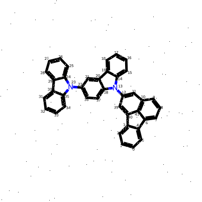 c1ccc2c(c1)-c1cccc3cc(-n4c5ccccc5c5cc(-n6c7ccccc7c7ccccc76)ccc54)cc-2c13